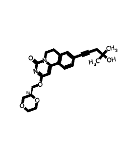 CC(C)(O)CC#Cc1ccc2c(c1)CCn1c-2cc(OC[C@@H]2COCCO2)nc1=O